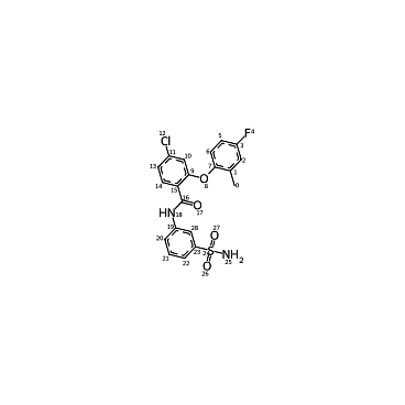 Cc1cc(F)ccc1Oc1cc(Cl)ccc1C(=O)Nc1cccc(S(N)(=O)=O)c1